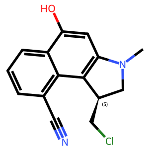 CN1C[C@@H](CCl)c2c1cc(O)c1cccc(C#N)c21